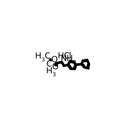 CC(C)OC(=O)C(N)Cc1ccc(-c2ccccc2)cc1.Cl